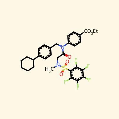 CCOC(=O)c1ccc(N(Cc2ccc(C3CCCCC3)cc2)C(=O)CN(C)S(=O)(=O)c2c(F)c(F)c(F)c(F)c2F)cc1